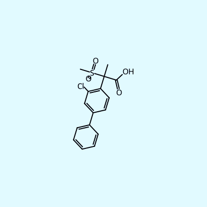 CC(C(=O)O)(c1ccc(-c2ccccc2)cc1Cl)S(C)(=O)=O